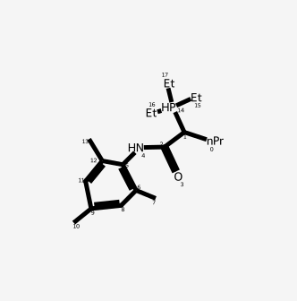 CCCC(C(=O)Nc1c(C)cc(C)cc1C)[PH](CC)(CC)CC